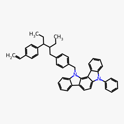 C=Cc1ccc(C(CC)C(CC)Cc2ccc(Cn3c4ccccc4c4ccc5c(c6ccccc6n5-c5ccccc5)c43)cc2)cc1